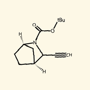 C#CC1[C@H]2CC[C@H](C2)N1C(=O)OC(C)(C)C